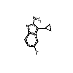 Nc1nc2ccc(F)cn2c1C1CC1